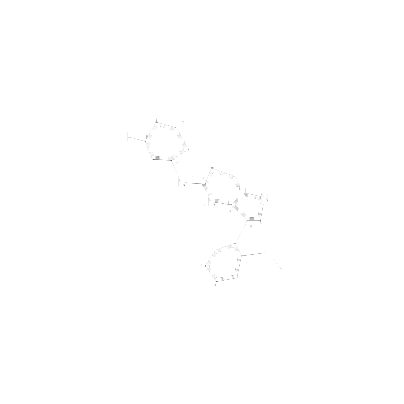 COc1ccccc1-c1cnn2ccc(Nc3cccc(Cl)c3)nc12